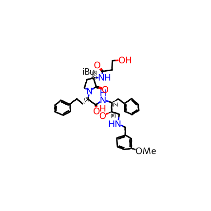 CC[C@H](C)[C@@]1(NC(=O)CCO)CCN([C@@H](CCc2ccccc2)C(=O)N[C@@H](Cc2ccccc2)[C@H](O)CNCc2cccc(OC)c2)C1=O